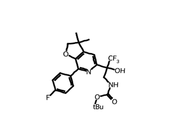 CC(C)(C)OC(=O)NCC(O)(c1cc2c(c(-c3ccc(F)cc3)n1)OCC2(C)C)C(F)(F)F